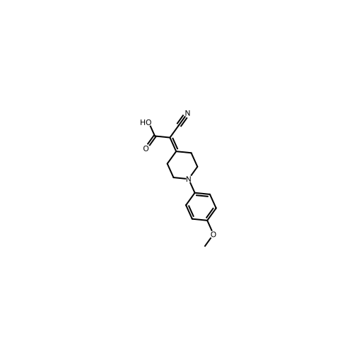 COc1ccc(N2CCC(=C(C#N)C(=O)O)CC2)cc1